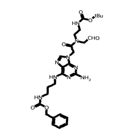 CC(C)(C)OC(=O)NCCN(CC=O)C(=O)Cn1cnc2c(NCCCNC(=O)OCc3ccccc3)nc(N)nc21